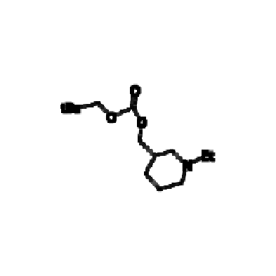 CCN1CCCC(COC(=O)OCC(C)(C)C)C1